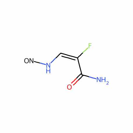 NC(=O)/C(F)=C\NN=O